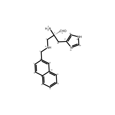 N[C@](C=O)(CNCc1ccc2ccccc2c1)Cc1c[nH]cn1